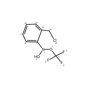 ON(OC(F)(F)F)c1ccccc1CCl